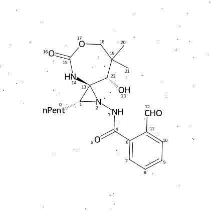 CCCCC[C@H]1N(NC(=O)c2ccccc2C=O)[C@]12NC(=O)OCC(C)(C)[C@@H]2O